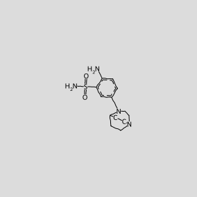 Nc1ccc(N2CCN3CCC2CC3)cc1S(N)(=O)=O